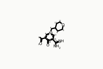 CC(=O)c1cn(CC2CCOCC2)cc(C(=N)N)c1=O